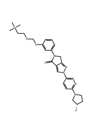 C[Si](C)(C)CCOCOc1cccc(N2Cc3nn(-c4ccc(N5CC[C@H](F)C5)nc4)cc3C2=O)c1